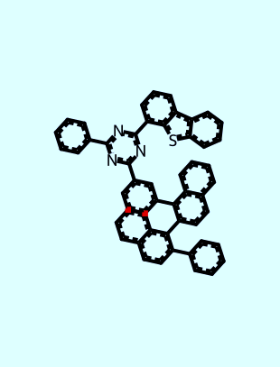 c1ccc(-c2nc(-c3cccc(-c4c(-c5c(-c6ccccc6)ccc6ccccc56)ccc5ccccc45)c3)nc(-c3cccc4c3sc3ccccc34)n2)cc1